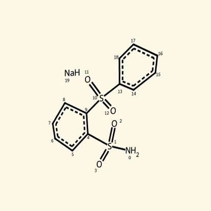 NS(=O)(=O)c1ccccc1S(=O)(=O)c1ccccc1.[NaH]